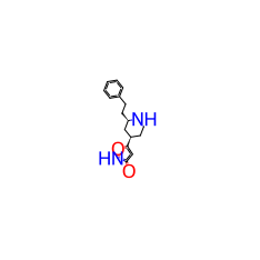 O=c1cc([C@@H]2CCN[C@H](CCc3ccccc3)C2)o[nH]1